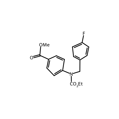 CCOC(=O)N(Cc1ccc(F)cc1)c1ccc(C(=O)OC)cc1